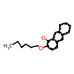 CCCCCCOc1ccc2cc3ccccc3cc2c1[O]